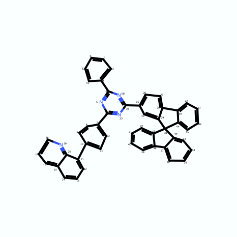 c1ccc(-c2nc(-c3ccc(-c4cccc5cccnc45)cc3)nc(-c3ccc4c(c3)C3(c5ccccc5-c5ccccc53)c3ccccc3-4)n2)cc1